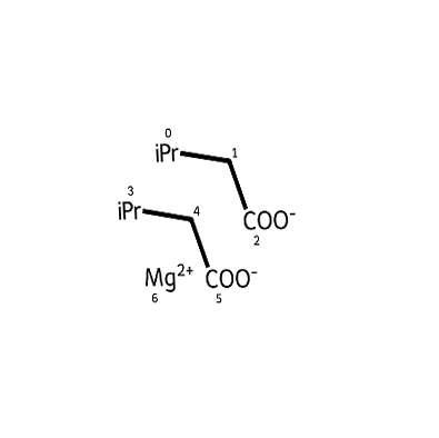 CC(C)CC(=O)[O-].CC(C)CC(=O)[O-].[Mg+2]